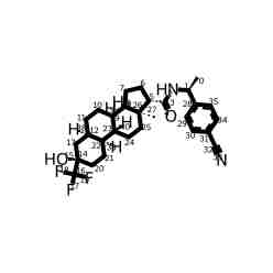 C[C@H](NC(=O)[C@H]1CC[C@H]2[C@@H]3CC[C@@H]4C[C@@](O)(C(F)(F)F)CC[C@@H]4[C@H]3CC[C@]12C)c1ccc(C#N)cc1